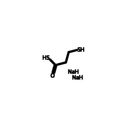 O=C(S)CCS.[NaH].[NaH]